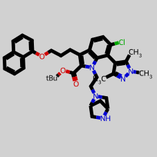 Cc1nn(C)c(C)c1-c1c(Cl)ccc2c(CCCOc3cccc4ccccc34)c(C(=O)OC(C)(C)C)n(CCN3CC4CC3CN4)c12